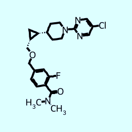 CN(C)C(=O)c1ccc(COC[C@@H]2C[C@@H]2C2CCN(c3ncc(Cl)cn3)CC2)cc1F